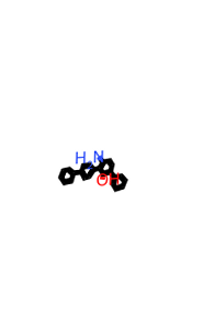 Nc1ccc(-c2ccccc2)c(O)c1-c1ccc(-c2ccccc2)cc1